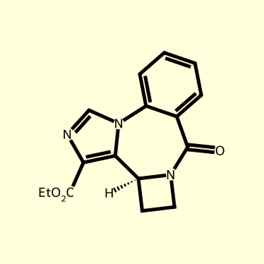 CCOC(=O)c1ncn2c1[C@@H]1CCN1C(=O)c1ccccc1-2